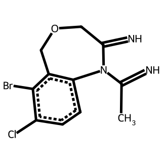 CC(=N)N1C(=N)COCc2c1ccc(Cl)c2Br